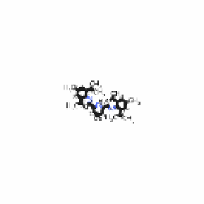 Cc1cc(C(C)C)c(N=Cc2cccc(C=Nc3c(C(C)C)cc(C)cc3C(C)C)n2)c(C(C)C)c1.[Co]